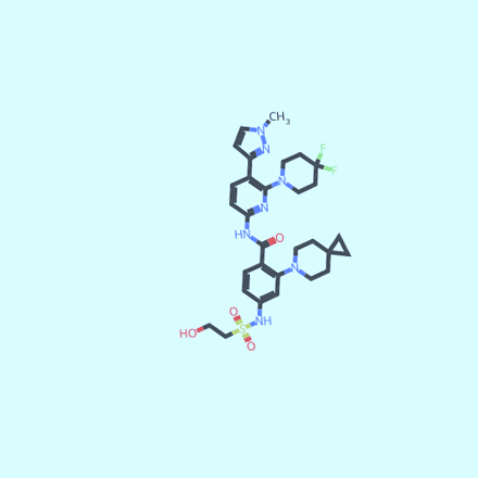 Cn1ccc(-c2ccc(NC(=O)c3ccc(NS(=O)(=O)CCO)cc3N3CCC4(CC3)CC4)nc2N2CCC(F)(F)CC2)n1